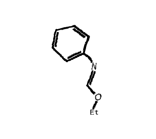 CCOC=Nc1ccccc1